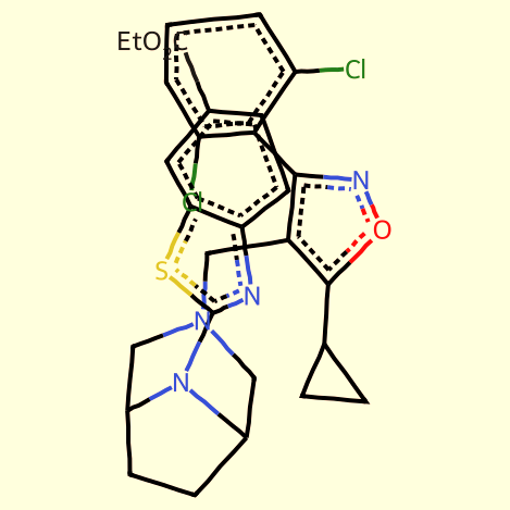 CCOC(=O)c1ccc2nc(N3C4CCC3CN(Cc3c(-c5c(Cl)cccc5Cl)noc3C3CC3)C4)sc2c1